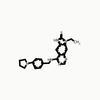 CCn1c(=S)[nH]c2cc3c(NCc4ccc(N5CCCC5)cc4)ncnc3cc21